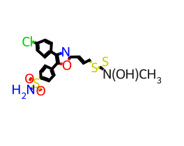 CN(O)C(=S)SCC=Cc1nc(-c2ccc(Cl)cc2)c(-c2ccc(S(N)(=O)=O)cc2)o1